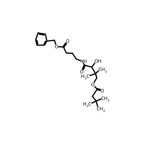 CC(C)(C)CC(=O)OCC(C)(C)C(O)C(=O)NCCCC(=O)OCc1ccccc1